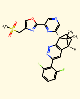 CC1(C)[C@H]2CC[C@]1(c1cncc(-c3nc(CS(C)(=O)=O)co3)n1)c1nnc(-c3c(F)cccc3F)cc12